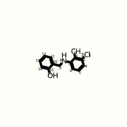 Cc1c(Cl)cccc1NCc1ccccc1O